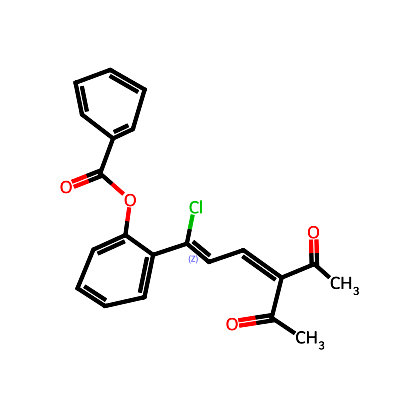 CC(=O)C(=C/C=C(\Cl)c1ccccc1OC(=O)c1ccccc1)C(C)=O